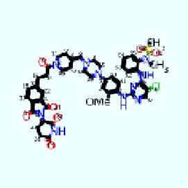 COc1cc(N2CCN(CC3CCN(C(=O)CCc4ccc5c(c4)C(=O)N(C4CCC(=O)NC4=O)C5=O)CC3)CC2)ccc1Nc1ncc(Cl)c(Nc2ccccc2N(C)S(C)(=O)=O)n1